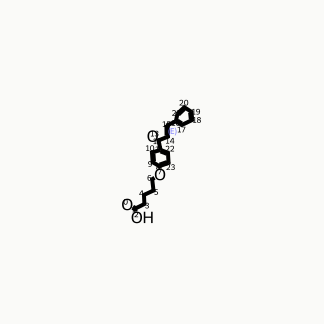 O=C(O)CCCCOc1ccc(C(=O)/C=C/c2ccccc2)cc1